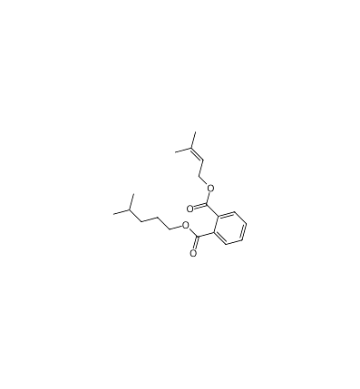 CC(C)=CCOC(=O)c1ccccc1C(=O)OCCCC(C)C